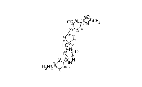 Cn1nc2c(=O)n(CC3(O)CCN(Cc4ccc(-c5noc(C(F)(F)F)n5)cc4Cl)CC3)cnc2c1-c1ccc(CN)cc1